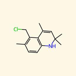 CC1=CC(C)(C)Nc2ccc(C)c(CCl)c21